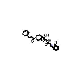 N#Cc1c(NC(=O)/C=C/c2ccccc2Cl)sc2c1CCN(C(=O)CCc1cccnc1)C2